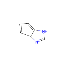 C1=CC2N=CNC2=C1